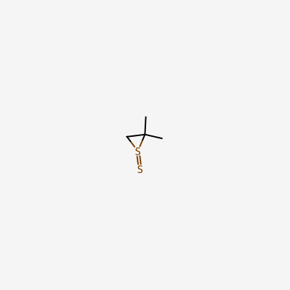 CC1(C)CS1=S